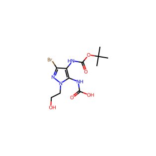 CC(C)(C)OC(=O)Nc1c(Br)nn(CCO)c1NC(=O)O